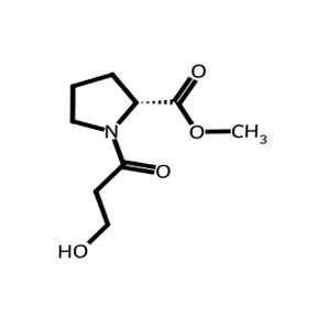 COC(=O)[C@H]1CCCN1C(=O)CCO